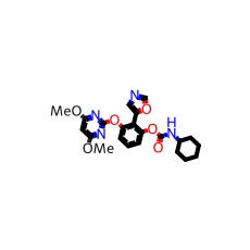 COc1cc(OC)nc(Oc2cccc(OC(=O)NC3CCCCC3)c2-c2cnco2)n1